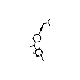 CN(C)CC#C[C@H]1CC[C@H](N(C)c2ncc(Cl)cn2)CC1